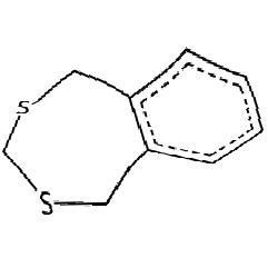 c1ccc2c(c1)CSCSC2